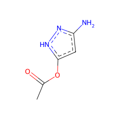 CC(=O)Oc1cc(N)n[nH]1